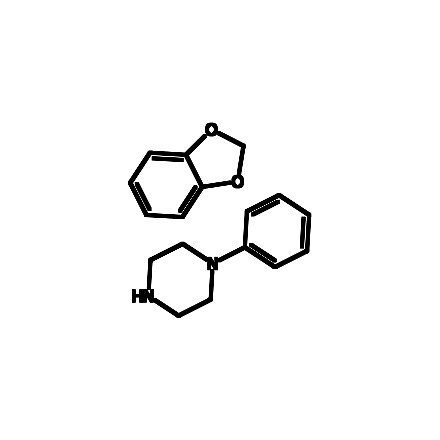 c1ccc(N2CCNCC2)cc1.c1ccc2c(c1)OCO2